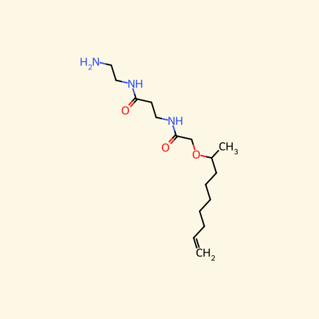 C=CCCCCCC(C)OCC(=O)NCCC(=O)NCCN